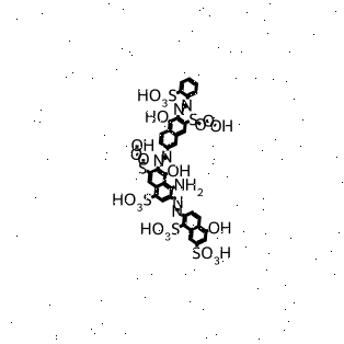 Nc1c(N=Nc2ccc3c(O)cc(S(=O)(=O)O)cc3c2S(=O)(=O)O)cc(S(=O)(=O)O)c2cc(SOOO)c(N=Nc3ccc4c(O)c(N=Nc5ccccc5S(=O)(=O)O)c(SOOO)cc4c3)c(O)c12